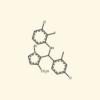 Cc1cc(Cl)ccc1C(Nc1cccc(Cl)c1F)c1c(C(=O)O)ccn1C(C)C